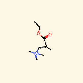 CCOC(=O)C(C)=C[N+](C)(C)C